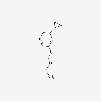 CCOCOc1cncc(C2CC2)c1